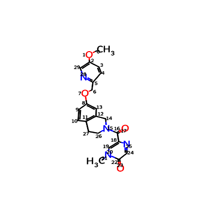 COc1ccc(COc2ccc3c(c2)CN(C(=O)c2cn(C)c(=O)cn2)CC3)nc1